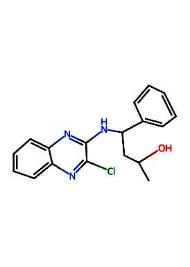 CC(O)CC(Nc1nc2ccccc2nc1Cl)c1ccccc1